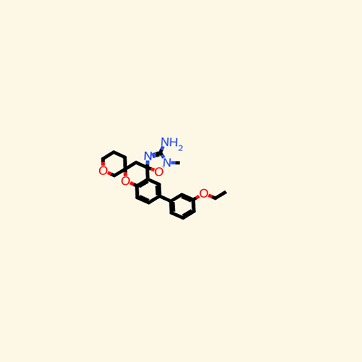 CCOc1cccc(-c2ccc3c(c2)C2(CC4(CCCOC4)O3)N=C(N)N(C)O2)c1